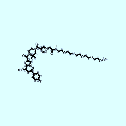 CCCOCCOCCOCCOCCOCCNC(=O)Cn1cc(C(=O)N2CCN(C(=O)c3cn4nc(-c5ccc(F)cc5)cc(C(C)(C)C)c4n3)C(C)(C)C2)nn1